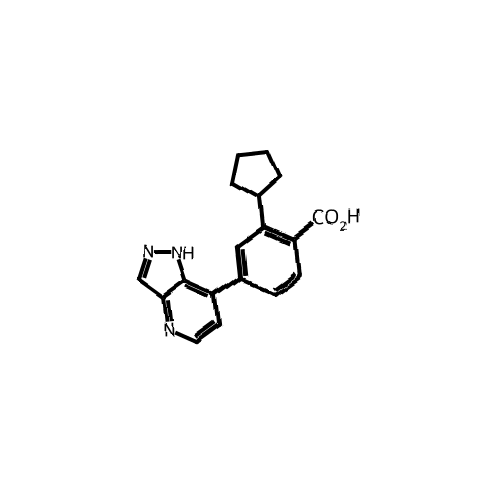 O=C(O)c1ccc(-c2ccnc3cn[nH]c23)cc1C1CCCC1